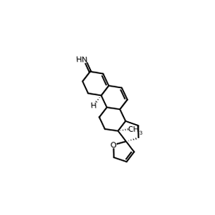 C[C@]12CCC3C(C=CC4=CC(=N)CC[C@@H]43)C1CC[C@@]21C=CCO1